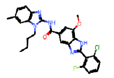 CCCCn1c(NC(=O)c2cc(OC)c3[nH]c(-c4c(F)cccc4Cl)nc3c2)nc2ccc(C)cc21